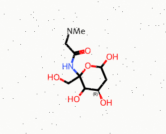 CNCC(=O)NC1(CO)OC(O)C[C@@H](O)C1O